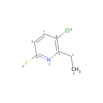 CCc1nc(F)ccc1Cl